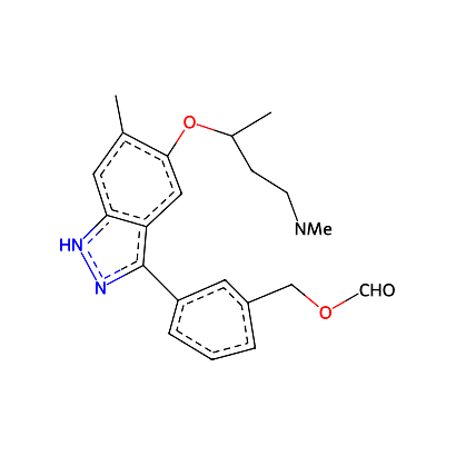 CNCCC(C)Oc1cc2c(-c3cccc(COC=O)c3)n[nH]c2cc1C